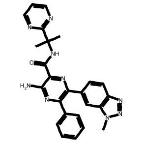 Cn1nnc2ccc(-c3nc(C(=O)NC(C)(C)c4ncccn4)c(N)nc3-c3ccccc3)cc21